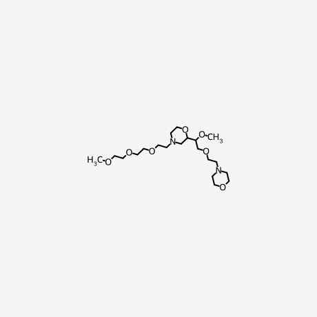 COCCOCCOCCN1CCOC(C(COCCN2CCOCC2)OC)C1